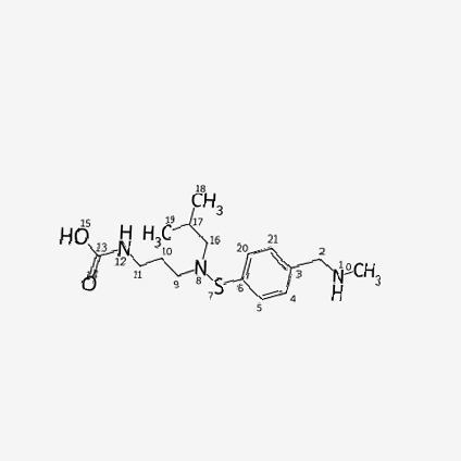 CNCc1ccc(SN(CCCNC(=O)O)CC(C)C)cc1